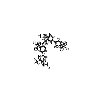 CC(C)(C)c1nc(-c2ccc(CC(C)(C)c3nc(-c4ccc(S(C)(=O)=O)cc4)cnc3N)c(S(C)(=O)=O)c2)cnc1N